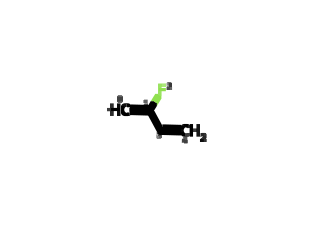 [CH]=C(F)C=C